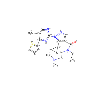 CCN(CCN(C)C)C(=O)c1cnn(-c2ncc(C)c(-c3cccs3)n2)c1C1CC1